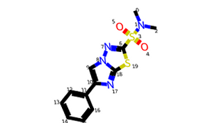 CN(C)S(=O)(=O)c1nn2cc(-c3ccccc3)nc2s1